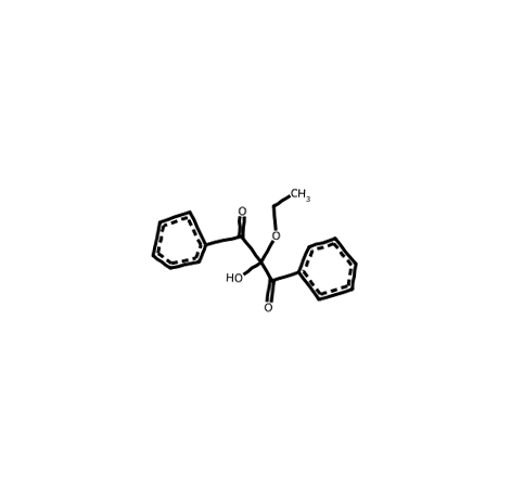 CCOC(O)(C(=O)c1ccccc1)C(=O)c1ccccc1